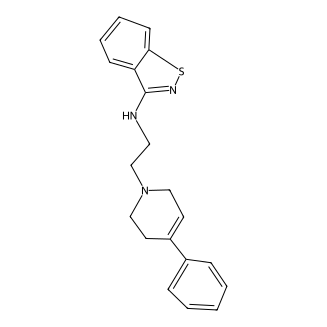 C1=C(c2ccccc2)CCN(CCNc2nsc3ccccc23)C1